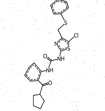 O=C(Nc1nc(CSc2ccccc2)c(Cl)s1)Nc1ccccc1C(=O)C1CCCC1